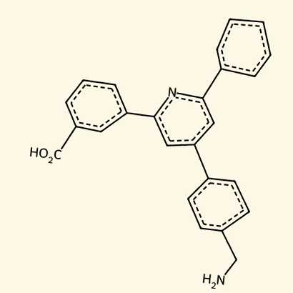 NCc1ccc(-c2cc(-c3ccccc3)nc(-c3cccc(C(=O)O)c3)c2)cc1